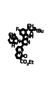 CCOC(=O)c1ccc2ccc(-c3cnc4[nH]c5c(N(C)C(=O)OC(C)(C)C)cc(F)cc5c4c3N3C[C@@H]4CCN(C)[C@@H]4C3)cn2c1=O